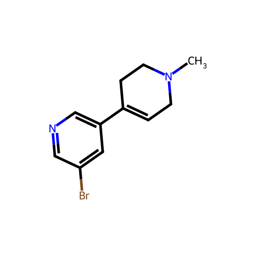 CN1CC=C(c2cncc(Br)c2)CC1